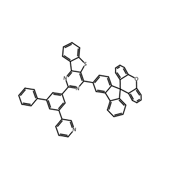 c1ccc(-c2cc(-c3cccnc3)cc(-c3nc(-c4ccc5c(c4)-c4ccccc4C54c5ccccc5Oc5ccccc54)c4sc5ccccc5c4n3)c2)cc1